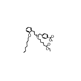 CCCCCCCOc1ccccc1CCN(CCCCCC(=O)OCC)Cc1ccc(C(=O)OC)cc1